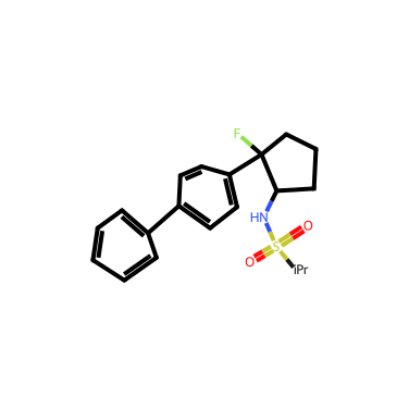 CC(C)S(=O)(=O)NC1CCCC1(F)c1ccc(-c2ccccc2)cc1